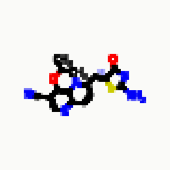 CC(C)Oc1c(C#N)cnc2ccc(/C=C3\SC(N)=NC3=O)nc12